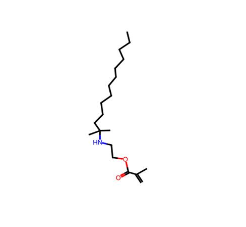 C=C(C)C(=O)OCCNC(C)(C)CCCCCCCCCCC